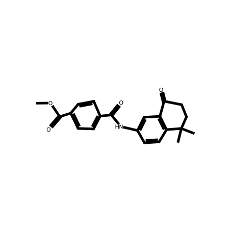 COC(=O)c1ccc(C(=O)Nc2ccc3c(c2)C(=O)CCC3(C)C)cc1